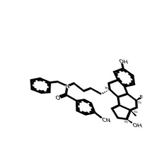 C[C@]12C[C@H](F)C3c4ccc(O)cc4C[C@@H](CCCCN(Cc4ccccc4)C(=O)c4ccc(C#N)cc4)C3C1CC[C@@H]2O